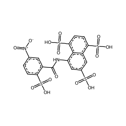 O=C(Nc1cc(S(=O)(=O)O)cc2c(S(=O)(=O)O)ccc(S(=O)(=O)O)c12)c1cc([N+](=O)[O-])ccc1S(=O)(=O)O